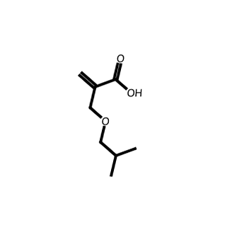 C=C(COCC(C)C)C(=O)O